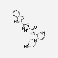 O=C(NC1C=NC=CC1N1CCNCC1)c1nnc(-c2nc3ccccc3[nH]2)o1